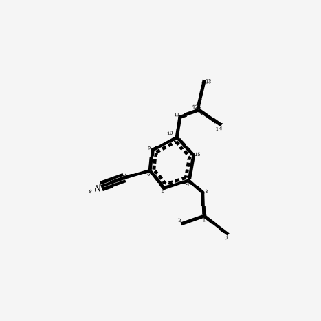 CC(C)Cc1cc(C#N)cc(CC(C)C)c1